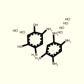 Cl.Cl.Cl.Cl.Cl.Cl.Nc1cc(N)c(N)cc1N.Nc1cc(N)c(O)cc1O